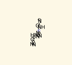 Cc1cc(Nc2ncnc3ccc(/C=C/CNC(=O)C=CCN4CCCCC4)nc23)ccc1Oc1ccc2c(c1)ncn2C